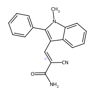 Cn1c(-c2ccccc2)c(/C=C(\C#N)C(N)=O)c2ccccc21